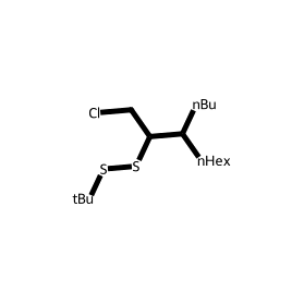 CCCCCCC(CCCC)C(CCl)SSC(C)(C)C